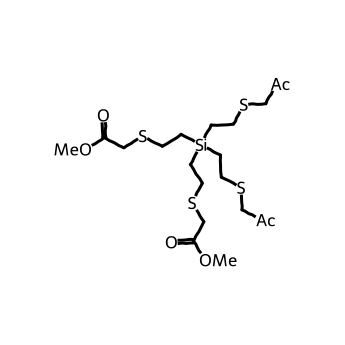 COC(=O)CSCC[Si](CCSCC(C)=O)(CCSCC(C)=O)CCSCC(=O)OC